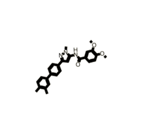 COc1ccc(C(=O)Nc2cc(-c3ccc(-c4ccc(C)c(C)c4)cc3)nn2C)cc1OC